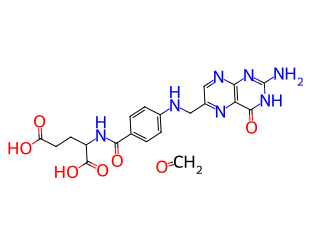 C=O.Nc1nc2ncc(CNc3ccc(C(=O)NC(CCC(=O)O)C(=O)O)cc3)nc2c(=O)[nH]1